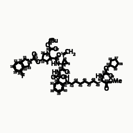 C=C[C@@H]1C[C@]1(NC(=O)C1C[C@@H](OC(=O)N2Cc3cccc(F)c3C2)CN1C(=O)OC(C)(C)C)C(=O)NS(=O)(=O)c1ccccc1NCCCCCCC[C@H](NC(=O)OC1CCCC1)C(=O)OC